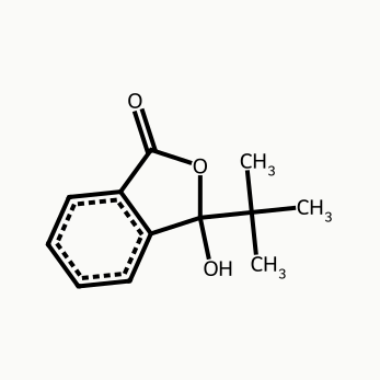 CC(C)(C)C1(O)OC(=O)c2ccccc21